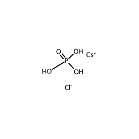 O=P(O)(O)O.[Cl-].[Cs+]